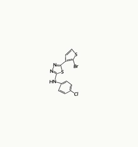 Clc1ccc(Nc2nnc(-c3ccsc3Br)s2)cc1